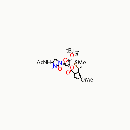 COc1ccc(C(=O)O[C@@H]2C[C@H](N3C=CC(NC(C)=O)N(C)C3=O)O[C@@H]2CO[Si](C)(C)C(C)(C)C)c(C(C)SSC)c1